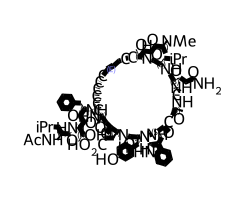 CN[C@@H](C)C(=O)CC(=O)[C@]1(C)CCC/C=C/CCCCCC[C@@](C)(NN[C@@H](Cc2ccccc2)C(=O)C(=O)[C@@H](NC(=O)[C@H](CC(C)C)NC(C)=O)[C@@H](C)O)C(=O)C(=O)[C@H](CCC(=O)O)NC(=O)[C@H](Cc2ccc(O)cc2)NN[C@@H](Cc2c[nH]c3ccccc23)C(=O)CC(=O)[C@H](C)NCN[C@@H](CCC(N)=O)C(=O)N[C@@H](CC(C)C)C(=O)N1